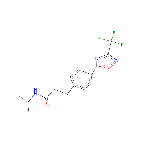 CC(C)NC(=O)NCc1ccc(-c2nc(C(F)(F)F)no2)cc1